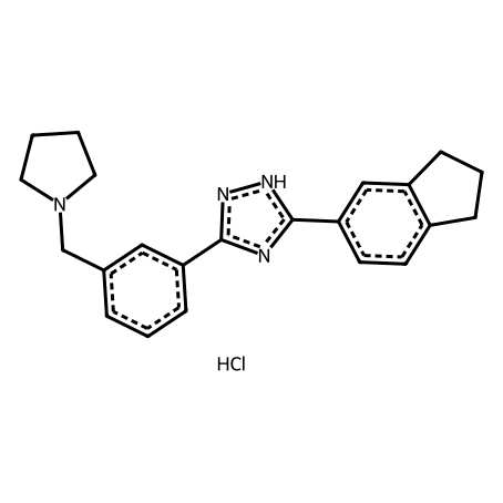 Cl.c1cc(CN2CCCC2)cc(-c2n[nH]c(-c3ccc4c(c3)CCC4)n2)c1